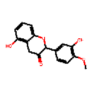 COc1ccc(C2Oc3cccc(O)c3CC2=O)cc1O